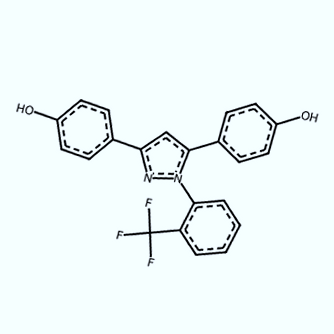 Oc1ccc(-c2cc(-c3ccc(O)cc3)n(-c3ccccc3C(F)(F)F)n2)cc1